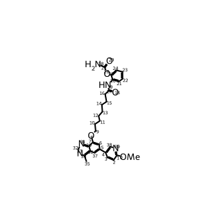 COc1ccc(-c2cc(OCCCCCCCCC(=O)Nc3ccccc3OC(N)=O)c3ncnc(C)c3c2)cn1